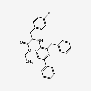 CCOC(=O)C(Cc1ccc(F)cc1)Nc1ncc(-c2ccccc2)nc1Cc1ccccc1